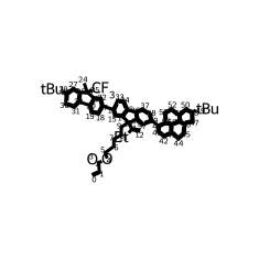 C=CC(=O)OCCCCCC1(C(=C)CC)c2cc(-c3ccc4c(c3)C(C)(C(F)(F)F)c3cc(C(C)(C)C)ccc3-4)ccc2-c2ccc(-c3ccc4ccc5cc(C(C)(C)C)cc6ccc3c4c56)cc21